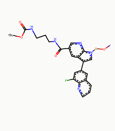 CC(C)(C)OC(=O)NCCCNC(=O)c1cnc2c(c1)c(-c1cc(F)c3ncccc3c1)cn2SOI